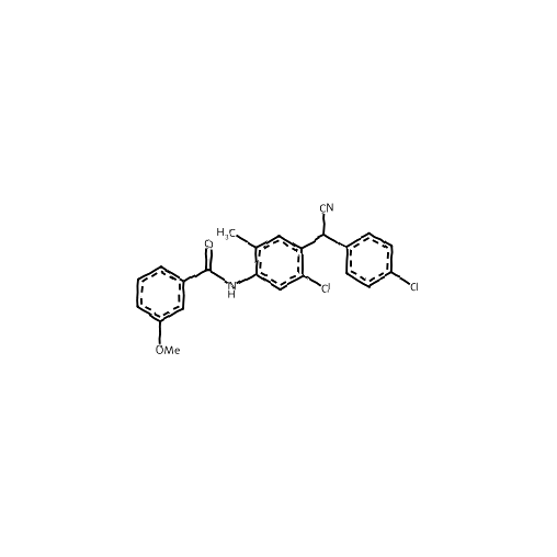 COc1cccc(C(=O)Nc2cc(Cl)c(C(C#N)c3ccc(Cl)cc3)cc2C)c1